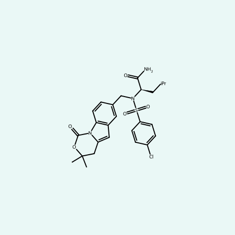 CC(C)C[C@H](C(N)=O)N(Cc1ccc2c(c1)cc1n2C(=O)OC(C)(C)C1)S(=O)(=O)c1ccc(Cl)cc1